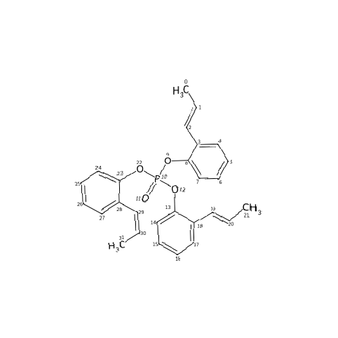 CC=Cc1ccccc1OP(=O)(Oc1ccccc1C=CC)Oc1ccccc1C=CC